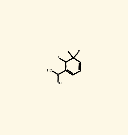 CC1(F)C=CC=C(B(O)O)C1F